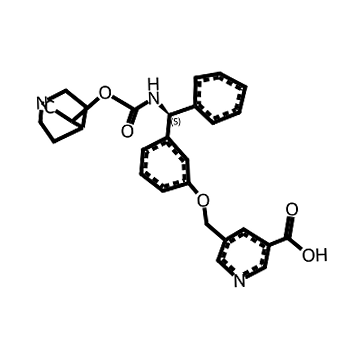 O=C(N[C@@H](c1ccccc1)c1cccc(OCc2cncc(C(=O)O)c2)c1)OC1CN2CCC1CC2